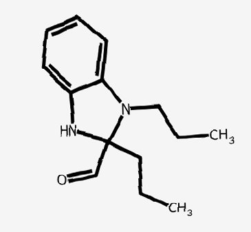 CCCN1c2ccccc2NC1(C=O)CCC